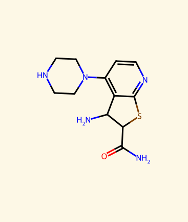 NC(=O)C1Sc2nccc(N3CCNCC3)c2C1N